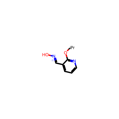 CC(C)Oc1ncccc1/C=N/O